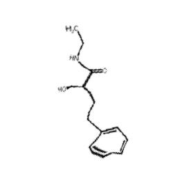 CCNC(=O)[C@H](O)CCc1ccccc1